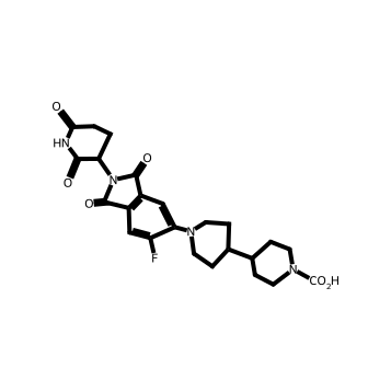 O=C1CCC(N2C(=O)c3cc(F)c(N4CCC(C5CCN(C(=O)O)CC5)CC4)cc3C2=O)C(=O)N1